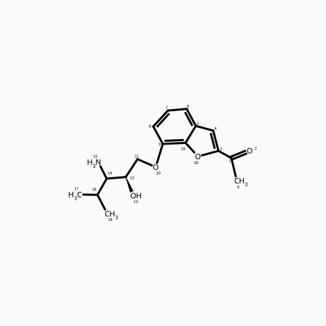 CC(=O)c1cc2cccc(OC[C@@H](O)C(N)C(C)C)c2o1